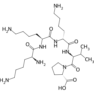 CC(C)[C@H](NC(=O)[C@@H](CCCCN)NC(=O)[C@H](CCCCN)NC(=O)[C@@H](N)CCCCN)C(=O)N1CCC[C@H]1C(=O)O